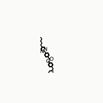 CCCCCc1cnc(-c2ccc(C(=O)Oc3ccc(C[C@@H](C)CC)cc3)cc2)nc1